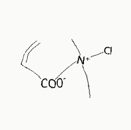 C=CC(=O)[O-].C[N+](C)(C)Cl